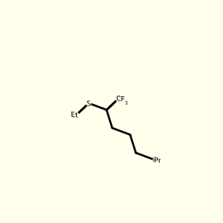 CCSC(CCCC(C)C)C(F)(F)F